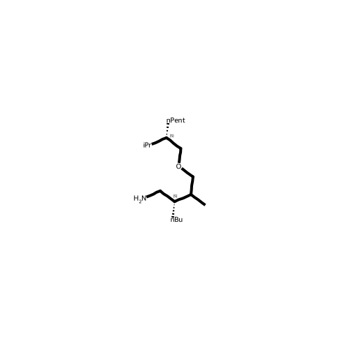 CCCCC[C@H](COCC(C)[C@@H](CN)CCCC)C(C)C